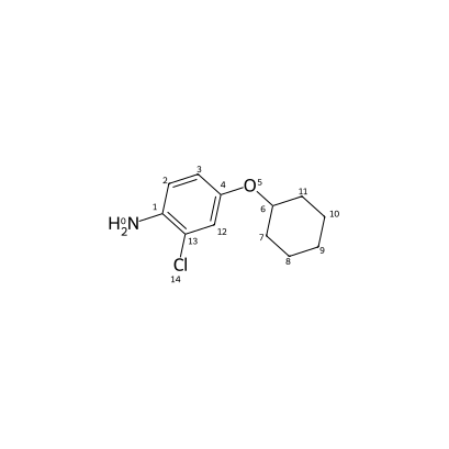 Nc1ccc(OC2CCCCC2)cc1Cl